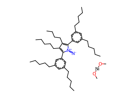 CCCCCC1=C(c2cc(CCCCC)cc(CCCCC)c2)[N+](=[N-])C(c2cc(CCCCC)cc(CCCCC)c2)=C1CCCC.C[O][Ni][O]C